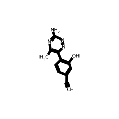 C#Cc1ccc(-c2nnc(N)nc2C)c(O)c1